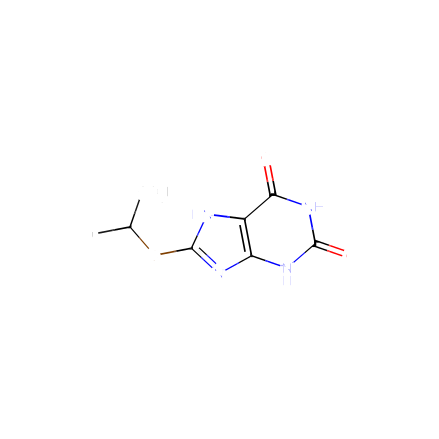 CCC(Sc1nc2[nH]c(=O)[nH]c(=O)c2[nH]1)C(=O)O